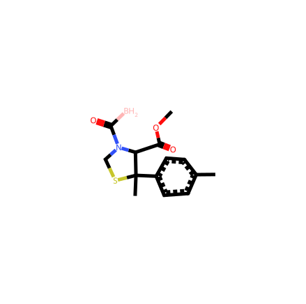 BC(=O)N1CSC(C)(c2ccc(C)cc2)C1C(=O)OC